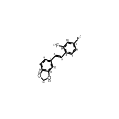 Fc1ccc(C=Cc2ccc3c(c2)OCO3)c(F)c1